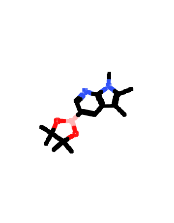 Cc1c(C)n(C)c2ncc(B3OC(C)(C)C(C)(C)O3)cc12